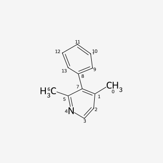 Cc1ccnc(C)c1-c1c[c]ccc1